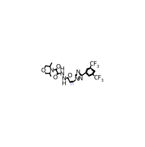 CC1COCC(C)N1C(=O)C(=O)NNC(=O)/C=C\n1cnc(-c2cc(C(F)(F)F)cc(C(F)(F)F)c2)n1